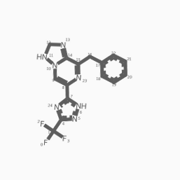 FC(F)(F)c1n[nH]c(C2=CN3NCN=C3C(Cc3ccccc3)=N2)n1